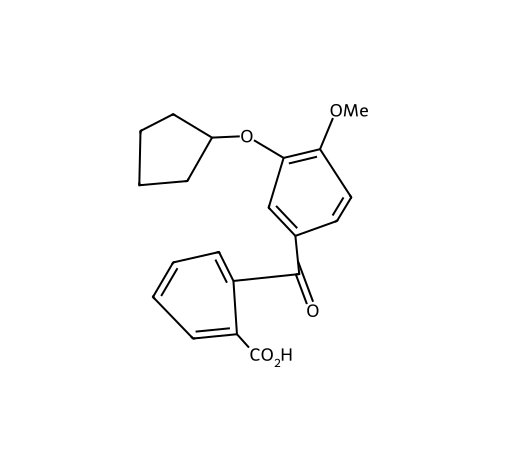 COc1ccc(C(=O)c2ccccc2C(=O)O)cc1OC1CCCC1